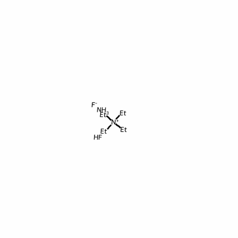 CC[N+](CC)(CC)CC.F.N.[F-]